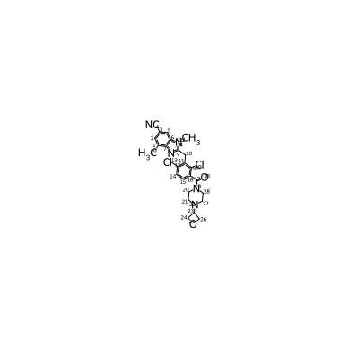 Cc1cc(C#N)cc2c1nc(Cc1c(Cl)ccc(C(=O)N3CCN(C4COC4)CC3)c1Cl)n2C